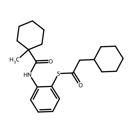 CC1(C(=O)Nc2ccccc2SC(=O)CC2CCCCC2)CCCCC1